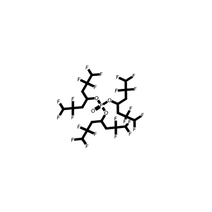 O=P(OC(CC(F)(F)C(F)F)CC(F)(F)C(F)F)(OC(CC(F)(F)C(F)F)CC(F)(F)C(F)F)OC(CC(F)(F)C(F)F)CC(F)(F)C(F)F